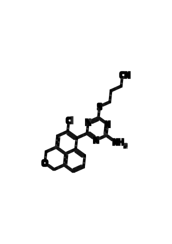 N#CCCCSc1nc(N)nc(-c2c(Cl)cc3c4c(cccc24)COC3)n1